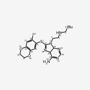 CC(C)(C)CNCCN1C(Sc2cc3c(cc2I)OCCO3)=NC2C(N)=NC=NC21